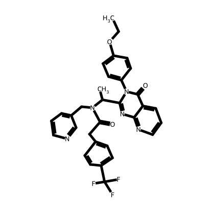 CCOc1ccc(-n2c(C(C)N(Cc3cccnc3)C(=O)Cc3ccc(C(F)(F)F)cc3)nc3ncccc3c2=O)cc1